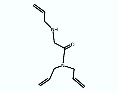 C=CCNCC(=O)N(CC=C)CC=C